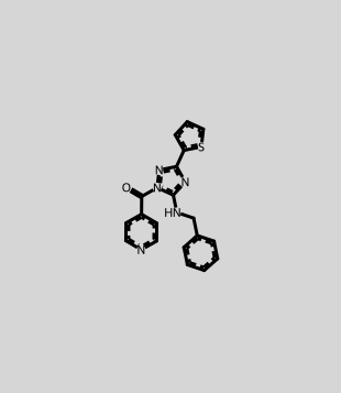 O=C(c1ccncc1)n1nc(-c2cccs2)nc1NCc1ccccc1